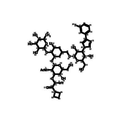 CCC[C@H](OC1C(NC(C)=O)[C@H](O[C@@H]2CC(CO[C@H]3OC(CO)[C@@H](O)C(n4cc(-c5cccc(F)c5)nn4)C3O)CC(CC)C2O[C@@H]2OC(C)[C@@H](O)C(O)C2O)OC(CO)[C@@H]1O)C(=O)N1CCC1